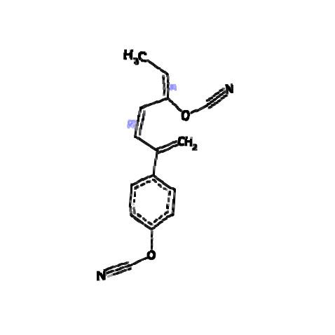 C=C(/C=C\C(=C/C)OC#N)c1ccc(OC#N)cc1